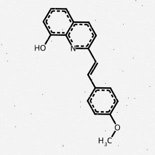 COc1ccc(C=Cc2ccc3cccc(O)c3n2)cc1